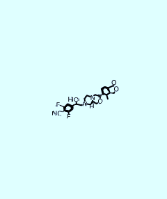 Cc1c([C@@H]2CN3CCN(CC(O)c4cc(F)c(C#N)c(F)c4)C[C@H]3CO2)ccc2c1COC2=O